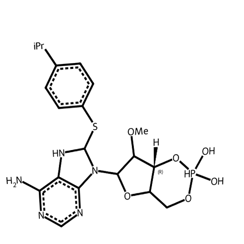 COC1C(N2c3ncnc(N)c3NC2Sc2ccc(C(C)C)cc2)OC2CO[PH](O)(O)O[C@H]21